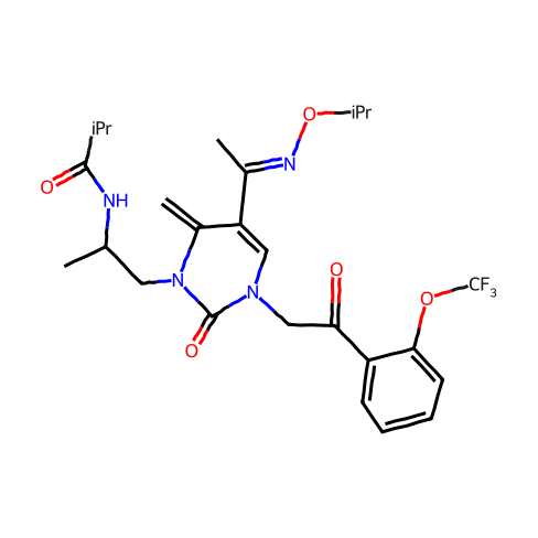 C=C1C(/C(C)=N/OC(C)C)=CN(CC(=O)c2ccccc2OC(F)(F)F)C(=O)N1CC(C)NC(=O)C(C)C